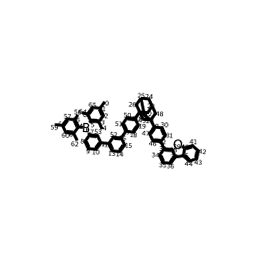 Cc1cc(C)c(B(c2cccc(-c3cccc(-c4ccc(C56CC7CC(C5)CC(c5ccc(-c8cccc9c8oc8ccccc89)cc5)(C7)C6)cc4)c3)c2)c2c(C)cc(C)cc2C)c(C)c1